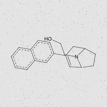 OCCN1C2C=C(c3ccc4ccccc4c3)CC1CC2